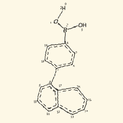 [2H]OB(O)c1ccc(-c2cccc3ccccc23)cc1